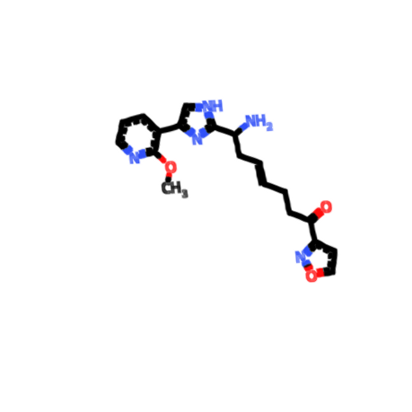 COc1ncccc1-c1c[nH]c(C(N)CC=CCCC(=O)c2ccon2)n1